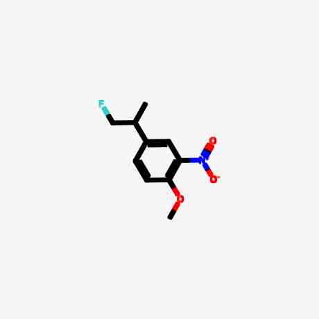 COc1ccc([C](C)CF)cc1[N+](=O)[O-]